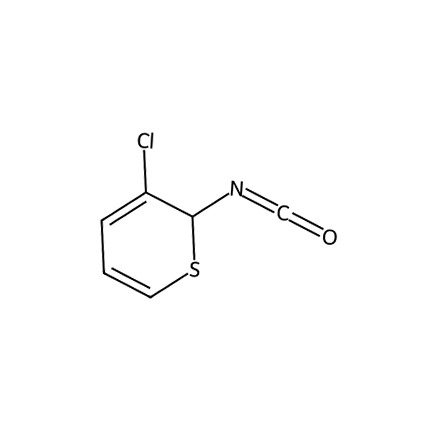 O=C=NC1SC=CC=C1Cl